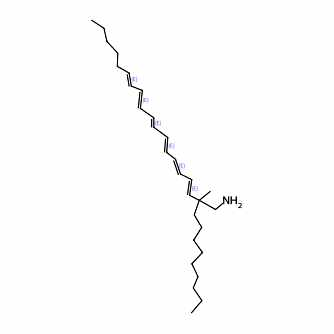 CCCCC/C=C/C=C/C=C/C=C/C=C/C=C/C(C)(CN)CCCCCCCCC